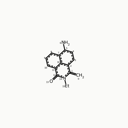 C=c1c2ccc(N)c3cccc(c(=O)n1CC)c32